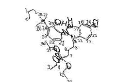 CCC.CCO[Si](CCCN1c2ccc(Cl)cc2NN1c1cccc(C(C)(C)C)c1O)(OCC)OCC